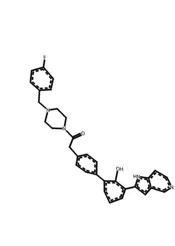 O=C(Cc1ccc(-c2cccc(-c3cc4cnccc4[nH]3)c2O)cc1)N1CCN(Cc2ccc(F)cc2)CC1